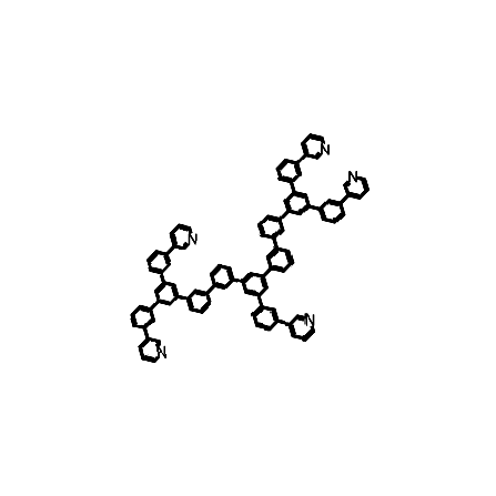 c1cncc(-c2cccc(-c3cc(-c4cccc(-c5cccnc5)c4)cc(-c4cccc(-c5cccc(-c6cc(-c7cccc(-c8cccnc8)c7)cc(-c7cccc(-c8cccc(-c9cc(-c%10cccc(-c%11cccnc%11)c%10)cc(-c%10cccc(-c%11cccnc%11)c%10)c9)c8)c7)c6)c5)c4)c3)c2)c1